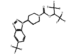 O=C(OC(C(F)(F)F)C(F)(F)F)N1CCC(n2nnc3cc(C(F)(F)F)ccc32)CC1